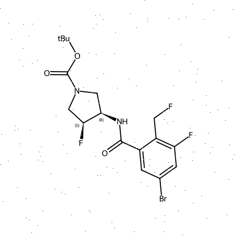 CC(C)(C)OC(=O)N1C[C@H](F)[C@H](NC(=O)c2cc(Br)cc(F)c2CF)C1